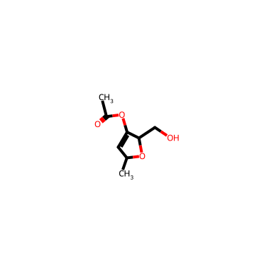 CC(=O)OC1=CC(C)OC1CO